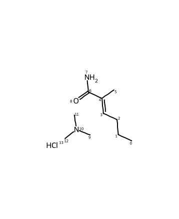 CCC/C=C(\C)C(N)=O.CN(C)C.Cl